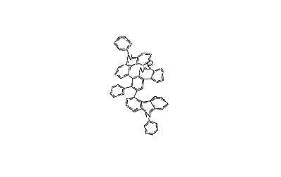 CS1(=O)=Nc2c(cc(-c3cccc4c3c3ccccc3n4-c3ccccc3)c(-c3ccccc3)c2-c2cccc3c2c2ccccc2n3-c2ccccc2)-c2ccccc21